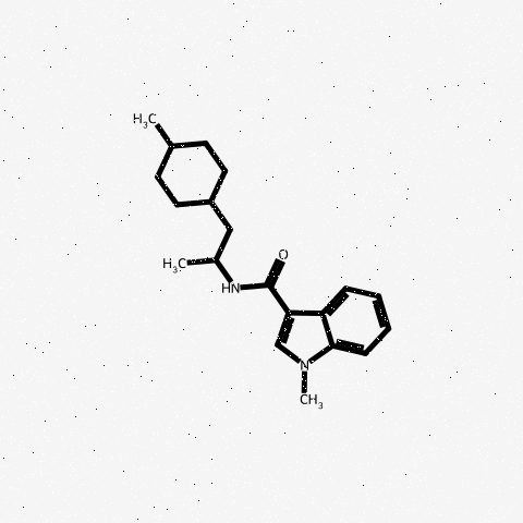 CC1CCC(CC(C)NC(=O)c2cn(C)c3ccccc23)CC1